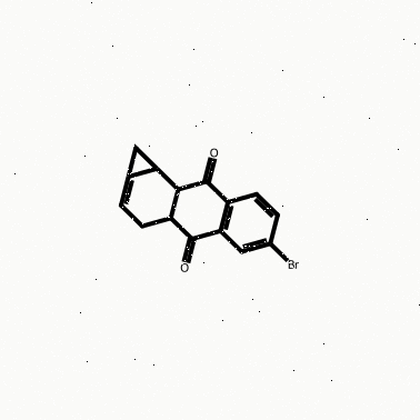 O=C1c2cc(Br)ccc2C(=O)C2C1CC=C1CC12